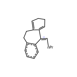 CCC/C=C1/C2=CCCC=C2CCc2ccccc21